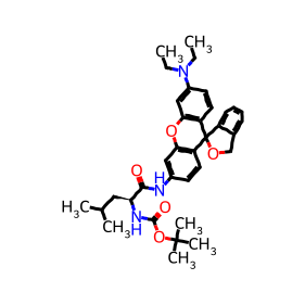 CCN(CC)c1ccc2c(c1)Oc1cc(NC(=O)[C@H](CC(C)C)NC(=O)OC(C)(C)C)ccc1C21OCc2ccccc21